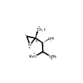 COC(OC)[C@@H](O)[C@@]1(C(=O)O)CO1